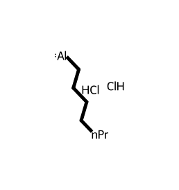 CCCCCC[CH2][Al].Cl.Cl